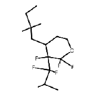 CCC(C)(C)CC1CCOC(F)(F)C1(F)C(F)(F)C(C)C